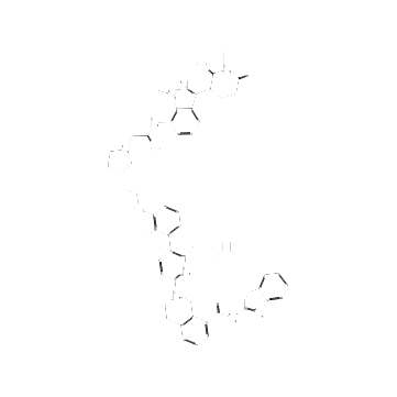 Cc1c(OCC[C@@H]2CCN(CC(=O)Nc3cccc4c(C5CCC(=O)NC5=O)nn(C)c34)C2)cccc1-c1ccc(N2CCc3cccc(C(=O)Nc4nc5ccccc5s4)c3C2)nc1C(=O)O